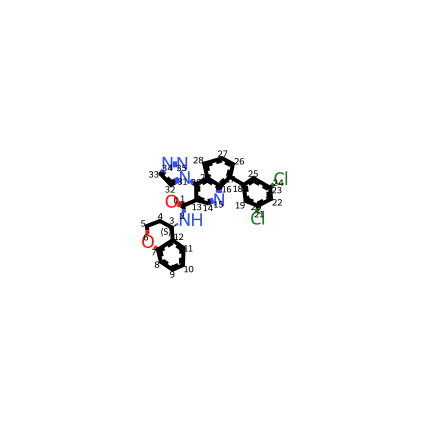 O=C(N[C@H]1CCOc2ccccc21)c1cnc2c(-c3cc(Cl)cc(Cl)c3)cccc2c1-n1ccnn1